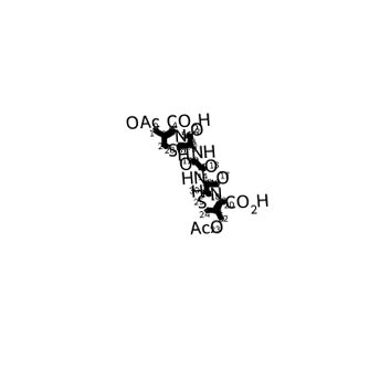 CC(=O)OCC1=C(C(=O)O)N2C(=O)[C@@H](NC(=O)C(=O)N[C@@H]3C(=O)N4C(C(=O)O)=C(COC(C)=O)CS[C@H]34)[C@H]2SC1